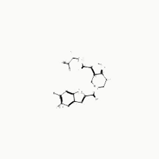 C[C@@H](NC(=O)c1onc2c1CN(C(=O)c1cc3cc(F)c(Cl)cc3[nH]1)CC2)C(F)F